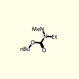 CCCCOC(=O)N(CC)NC